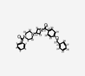 O=C(c1ccccc1)N1CCN(C2CN(C(=O)c3ccc(OCc4ccccc4)cc3)C2)CC1